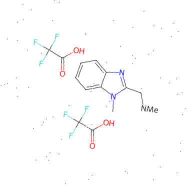 CNCc1nc2ccccc2n1C.O=C(O)C(F)(F)F.O=C(O)C(F)(F)F